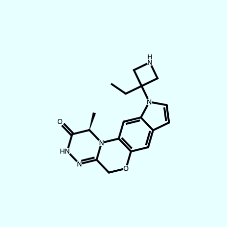 CCC1(n2ccc3cc4c(cc32)N2C(=NNC(=O)[C@H]2C)CO4)CNC1